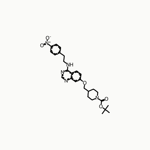 CC(C)(C)OC(=O)N1CCC(COc2ccc3c(NCCc4ccc([N+](=O)[O-])cc4)ncnc3c2)CC1